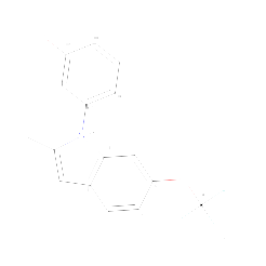 Cc1cc2ccc(OC(F)(F)F)cc2n1-c1cccc(O)c1